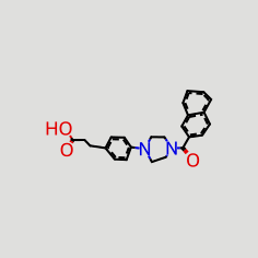 O=C(O)CCc1ccc(N2CCN(C(=O)c3ccc4ccccc4c3)CC2)cc1